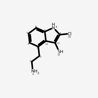 NCCc1cccc2[nH]c(Cl)c(S)c12